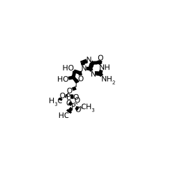 C#CP(=O)(OC)OP(=O)(OC)OC[C@H]1O[C@@H](n2cnc3c(=O)[nH]c(N)nc32)C(O)C1O